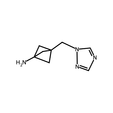 NC12CC(Cn3cncn3)(C1)C2